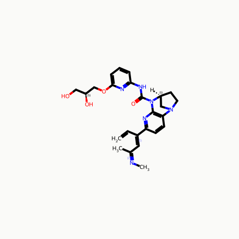 C=C/C(=C\C(C)=N/C)c1ccc2c(n1)N(C(=O)Nc1cccc(OC[C@@H](O)CO)n1)[C@H]1CCN2C1